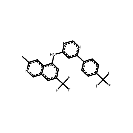 Cc1cc2c(Nc3cc(-c4ccc(C(F)(F)F)cc4)ncn3)cc(C(F)(F)F)cc2cn1